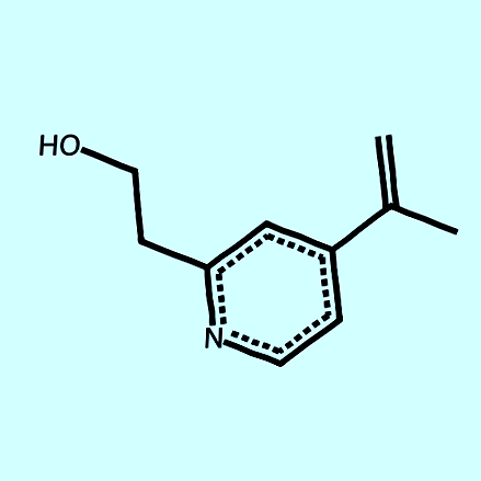 C=C(C)c1ccnc(CCO)c1